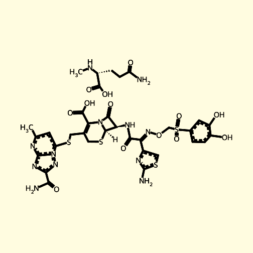 CN[C@H](CCC(N)=O)C(=O)O.Cc1cc(SCC2=C(C(=O)O)N3C(=O)[C@@H](NC(=O)C(=NOCS(=O)(=O)c4ccc(O)c(O)c4)c4csc(N)n4)[C@H]3SC2)n2nc(C(N)=O)nc2n1